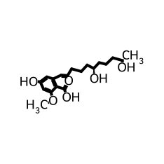 COc1cc(O)cc(/C=C/CCC[C@H](O)CCC[C@H](C)O)c1C(=O)O